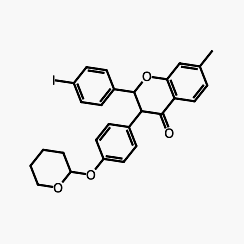 Cc1ccc2c(c1)OC(c1ccc(I)cc1)C(c1ccc(OC3CCCCO3)cc1)C2=O